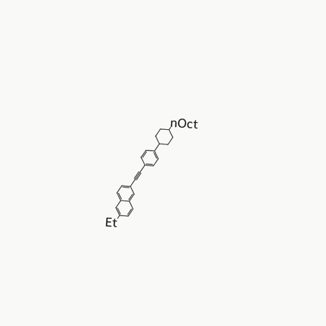 CCCCCCCCC1CCC(c2ccc(C#Cc3ccc4cc(CC)ccc4c3)cc2)CC1